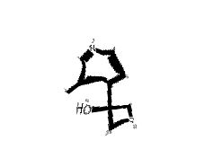 Cc1cnccc1C1(O)COC1